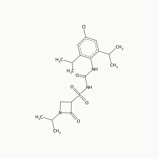 CC(C)c1cc(Cl)cc(C(C)C)c1NC(=O)NS(=O)(=O)C1CN(C(C)C)C1=O